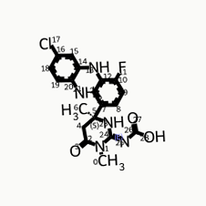 CN1C(=O)C[C@@](C)(c2ccc(F)c(Nc3cc(Cl)ccc3N)c2)N/C1=N\C(=O)O